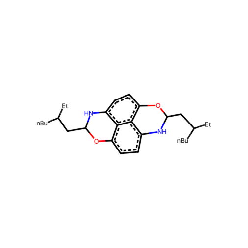 CCCCC(CC)CC1Nc2ccc3c4c(ccc(c24)O1)NC(CC(CC)CCCC)O3